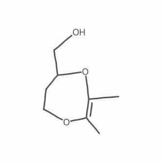 CC1=C(C)OC(CO)CCO1